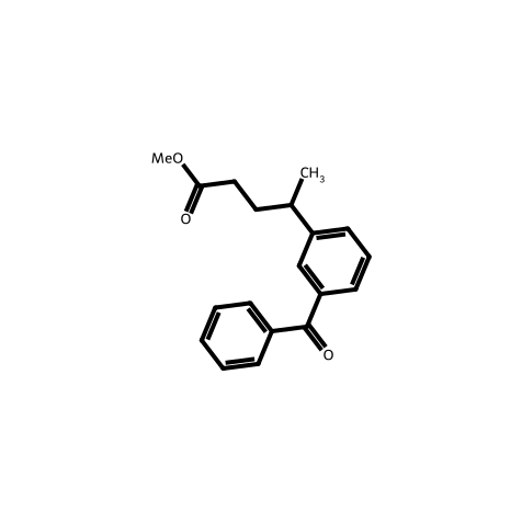 COC(=O)CCC(C)c1cccc(C(=O)c2ccccc2)c1